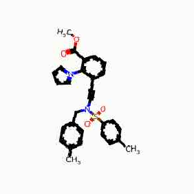 COC(=O)c1cccc(C#CN(Cc2ccc(C)cc2)S(=O)(=O)c2ccc(C)cc2)c1-n1cccc1